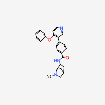 N#CN1CC2CC(NC(=O)c3ccc(-c4cnccc4Oc4ccccc4)cc3)C1C2